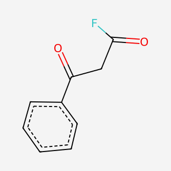 O=C(F)CC(=O)c1ccccc1